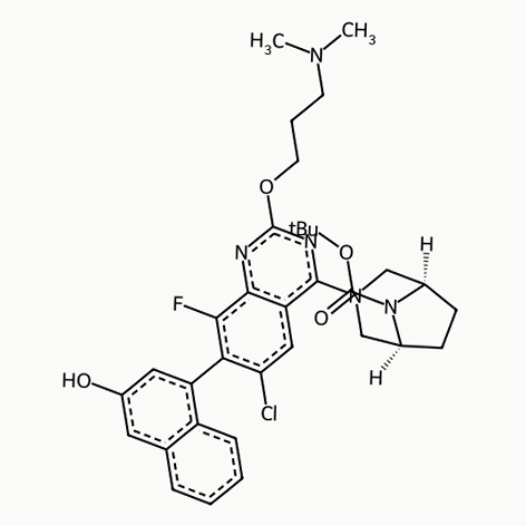 CN(C)CCCOc1nc(N2C[C@H]3CC[C@@H](C2)N3C(=O)OC(C)(C)C)c2cc(Cl)c(-c3cc(O)cc4ccccc34)c(F)c2n1